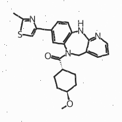 CO[C@H]1CC[C@H](C(=O)N2Cc3cccnc3Nc3ccc(-c4csc(C)n4)cc32)CC1